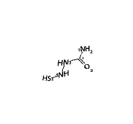 NC(=O)NNS